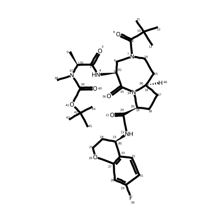 C[C@@H](C(=O)N[C@H]1CN(C(=O)C(C)(C)C)CC[C@H]2CC[C@@H](C(=O)N[C@@H]3CCOc4cc(F)ccc43)N2C1=O)N(C)C(=O)OC(C)(C)C